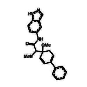 CNC(C(=O)Nc1ccc2[nH]ncc2c1)C1(OC)C=CC(c2ccccc2)=CC1